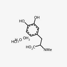 CNC(Cc1ccc(O)c(O)c1)C(=O)O.Cl.O.O